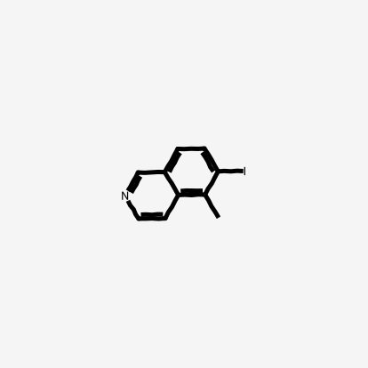 Cc1c(I)ccc2cnccc12